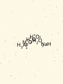 O.O.O.O.[AlH3].[NaH]